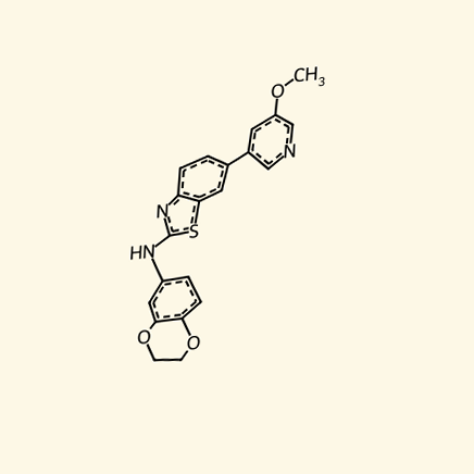 COc1cncc(-c2ccc3nc(Nc4ccc5c(c4)OCCO5)sc3c2)c1